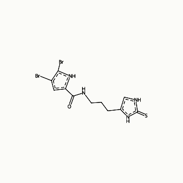 O=C(NCCCc1c[nH]c(=S)[nH]1)c1cc(Br)c(Br)[nH]1